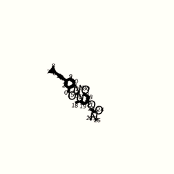 Cc1cc(C#CC2CC2)ccc1N(C)C(=O)n1c(C)cc(OCC(=O)N(C)C)cc1=O